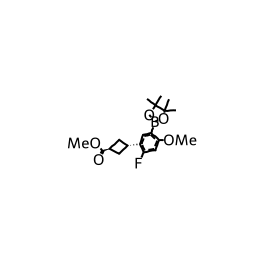 COc1cc(F)c([C@H]2C[C@H](C(=O)OC)C2)cc1B1OC(C)(C)C(C)(C)O1